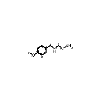 COc1ccc(CNCON)cc1